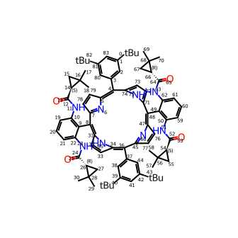 CC(C)(C)c1cc(-c2c3nc(c(-c4c(NC(=O)[C@H]5CC5(C)C)cccc4NC(=O)[C@@H]4CC4(C)C)c4ccc([nH]4)c(-c4cc(C(C)(C)C)cc(C(C)(C)C)c4)c4nc(c(-c5c(NC(=O)[C@H]6CC6(C)C)cccc5NC(=O)[C@@H]5CC5(C)C)c5ccc2[nH]5)C=C4)C=C3)cc(C(C)(C)C)c1